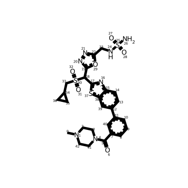 CN1CCN(C(=O)c2cccc(-c3ccc4nc(C(c5nnc(CNS(N)(=O)=O)o5)S(=O)(=O)CC5CC5)sc4c3)c2)CC1